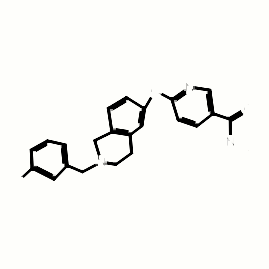 NC(=O)c1ccc(Oc2ccc3c(c2)CCN(Cc2cccc(F)c2)C3)nc1